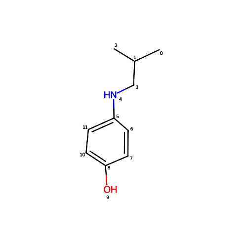 CC(C)CNc1ccc(O)cc1